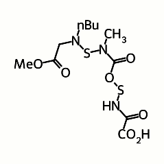 CCCCN(CC(=O)OC)SN(C)C(=O)OSNC(=O)C(=O)O